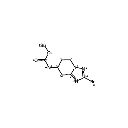 CC(C)(C)OC(=O)NC1CCn2nc(Br)nc2C1